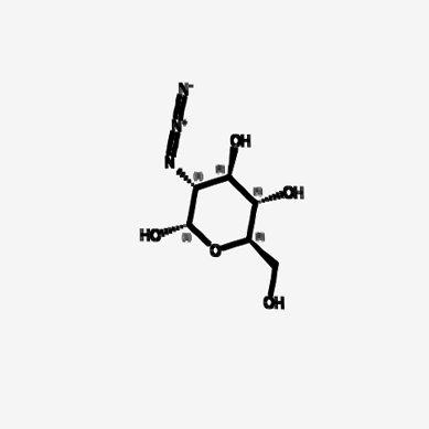 [N-]=[N+]=N[C@@H]1[C@@H](O)[C@H](O)[C@@H](CO)O[C@@H]1O